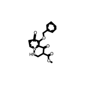 COC(=O)C1CNn2ccc(=O)c(OCc3ccccc3)c2C1=O